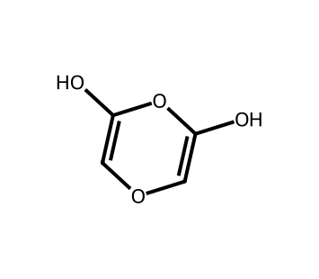 OC1=COC=C(O)O1